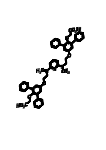 CCOC(=O)COc1c(-c2ccccc2)cc(OCCN(C)c2cccc(N(C)CCOc3cc(-c4ccccc4)c(OCC(=O)O)c(-c4ccccc4)c3)n2)cc1-c1ccccc1